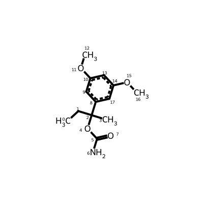 CCC(C)(OC(N)=O)c1cc(OC)cc(OC)c1